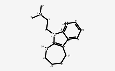 CN(C)CCn1c2c(c3cccnc31)CCCCO2